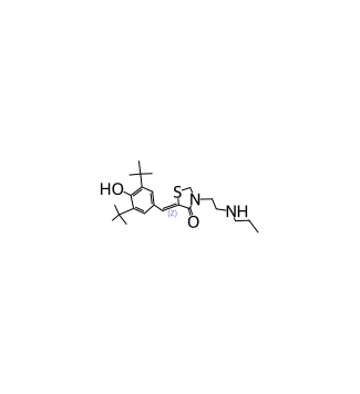 CCCNCCN1CS/C(=C\c2cc(C(C)(C)C)c(O)c(C(C)(C)C)c2)C1=O